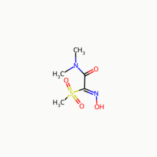 CN(C)C(=O)C(=NO)S(C)(=O)=O